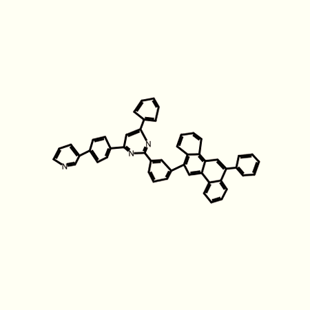 c1ccc(-c2cc(-c3ccc(-c4cccnc4)cc3)nc(-c3cccc(-c4cc5c6ccccc6c(-c6ccccc6)cc5c5ccccc45)c3)n2)cc1